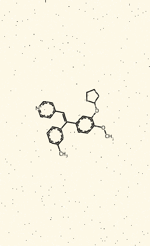 COc1ccc(/C(=C/c2ccncc2)c2cccc(C)c2)cc1OC1CCCC1